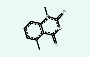 Cc1cccc2c1c(=O)oc(=O)n2C